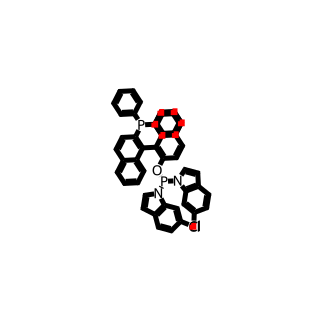 Clc1ccc2ccn(P(Oc3ccc4ccccc4c3-c3c(P(c4ccccc4)c4ccccc4)ccc4ccccc34)n3ccc4ccc(Cl)cc43)c2c1